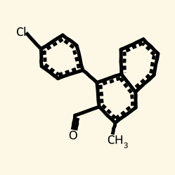 Cc1cc2ccccc2c(-c2ccc(Cl)cc2)c1C=O